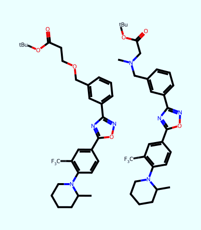 CC1CCCCN1c1ccc(-c2nc(-c3cccc(CN(C)CC(=O)OC(C)(C)C)c3)no2)cc1C(F)(F)F.CC1CCCCN1c1ccc(-c2nc(-c3cccc(COCCC(=O)OC(C)(C)C)c3)no2)cc1C(F)(F)F